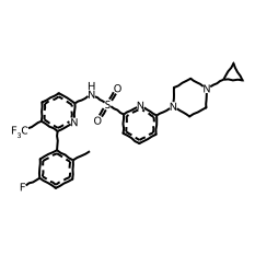 Cc1ccc(F)cc1-c1nc(NS(=O)(=O)c2cccc(N3CCN(C4CC4)CC3)n2)ccc1C(F)(F)F